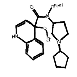 CCCCCN(C(=O)C1(OCC)C=CNc2ccccc21)C1CCN(C2CCCC2)C1